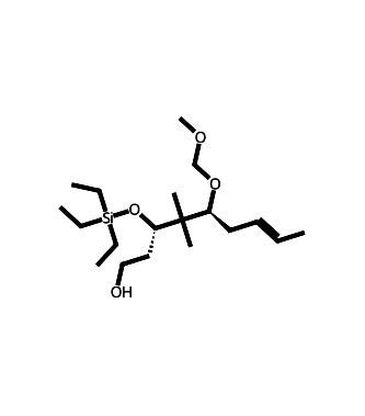 C/C=C/C[C@H](OCOC)C(C)(C)[C@H](CCO)O[Si](CC)(CC)CC